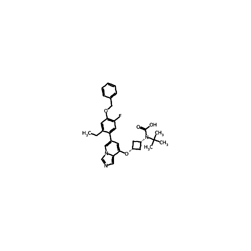 CCc1cc(OCc2ccccc2)c(F)cc1-c1cc(O[C@H]2C[C@@H](N(C(=O)O)C(C)(C)C)C2)c2cncn2c1